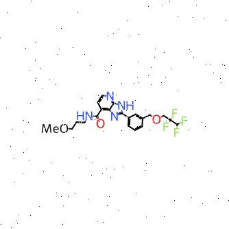 COCCCNC(=O)c1ccnc2[nH]c(-c3cccc(COCC(F)(F)C(F)F)c3)nc12